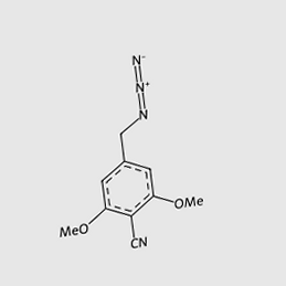 COc1cc(CN=[N+]=[N-])cc(OC)c1C#N